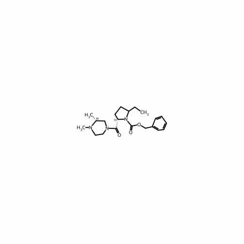 CCC1CC[C@@H](C(=O)N2CCN(C)[C@H](C)C2)N1C(=O)OCc1ccccc1